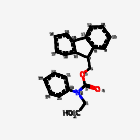 O=C(O)CN(C(=O)OCC1c2ccccc2-c2ccccc21)c1ccccc1